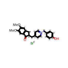 COc1cc2c(cc1OC)C(=O)C(Cc1cc[n+](Cc3ccc(O)cc3)cc1)C2.[Br-]